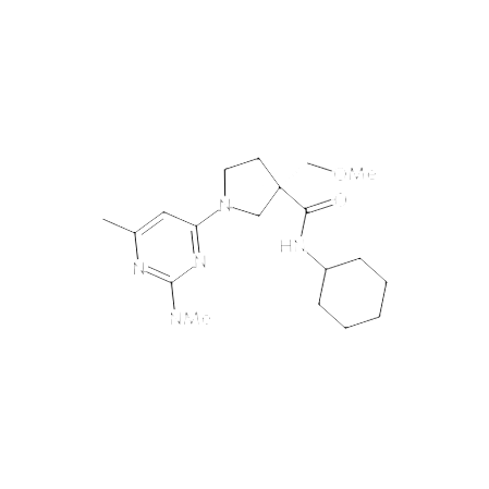 CNc1nc(C)cc(N2CC[C@@](COC)(C(=O)NC3CCCCC3)C2)n1